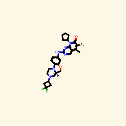 CC(=O)c1c(C)c2cnc(Nc3ccc4c(c3)OC[C@@H]3CN(C5CC(F)(F)C5)CCN43)nc2n(C2CCCC2)c1=O